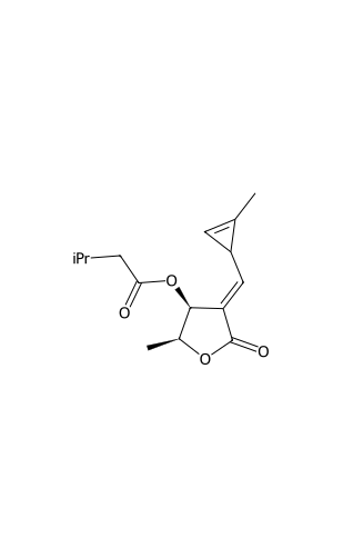 CC1=CC1/C=C1/C(=O)O[C@@H](C)[C@H]1OC(=O)CC(C)C